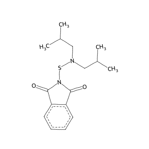 CC(C)CN(CC(C)C)SN1C(=O)c2ccccc2C1=O